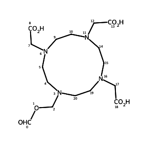 O=COCN1CCN(CC(=O)O)CCN(CC(=O)O)CCN(CC(=O)O)CC1